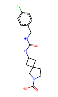 O=C(NCc1ccc(Cl)cc1)NC1CC2(CCN(C(=O)O)C2)C1